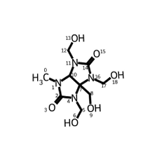 CN1C(=O)N(CO)C2(CO)C1N(CO)C(=O)N2CO